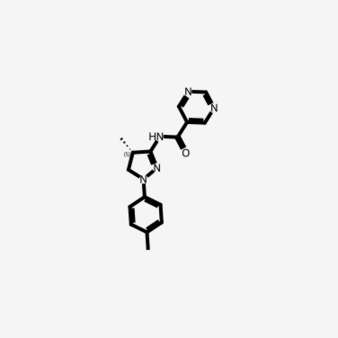 Cc1ccc(N2C[C@H](C)C(NC(=O)c3cncnc3)=N2)cc1